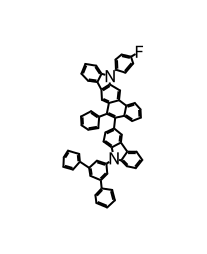 Fc1ccc(-n2c3ccccc3c3cc4c(-c5ccccc5)c(-c5ccc6c(c5)c5ccccc5n6-c5cc(-c6ccccc6)cc(-c6ccccc6)c5)c5ccccc5c4cc32)cc1